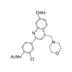 COc1ccc2c(CN3CCOCC3)cc(-c3ccc(NC(C)=O)c(Cl)c3)nc2c1